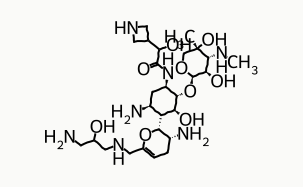 CN[C@@H]1[C@@H](O)[C@@H](O[C@H]2[C@H](NC(=O)C(O)C3CNC3)C[C@H](N)C([C@H]3OC(CNCC(O)CN)=CC[C@H]3N)[C@@H]2O)OC[C@]1(C)O